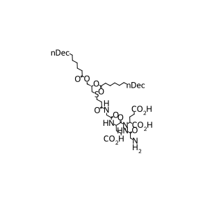 CCCCCCCCCCCCCCCC(=O)OC[C@H](CSCCC(=O)NCC(=O)NC(CCC(=O)O)C(=O)N(NC(=O)CN)C(CCC(=O)O)C(=O)O)OC(=O)CCCCCCCCCCCCCCC